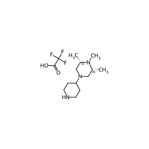 C[C@@H]1CN(C2CCNCC2)C[C@H](C)N1C.O=C(O)C(F)(F)F